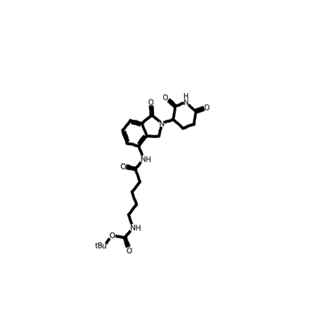 CC(C)(C)OC(=O)NCCCCC(=O)Nc1cccc2c1CN(C1CCC(=O)NC1=O)C2=O